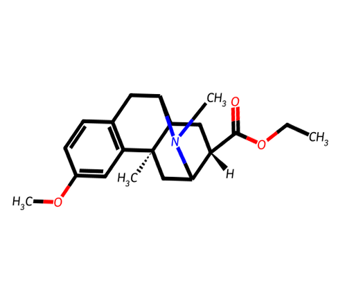 CCOC(=O)[C@H]1CC2C3Cc4ccc(OC)cc4[C@]2(C)CC1N3C